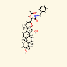 CC(=O)OC(C(=O)NCc1ccccc1)C1C[C@@H](C)[C@H]2C(O1)[C@H](O)[C@@]1(C)C3CC[C@H]4C(C)(C)[C@@H](O)CC[C@@]45C[C@@]35CC[C@]21C